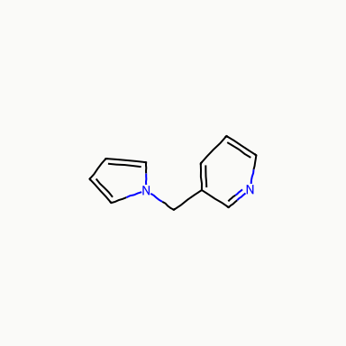 c1cncc(Cn2cccc2)c1